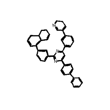 C1=CC2=C(c3cccc(-c4nc(-c5ccc(-c6ccccc6)cc5)cc(-c5cccc(C6=CCCN=C6)c5)n4)c3)C=CCC2CC1